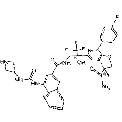 C[C@]1(C(N)=O)COc2c1cc([C@@](O)(CNC(=O)c1cc(NC(=O)NC3CNC3)c3ncccc3c1)C(F)(F)F)nc2-c1ccc(F)cc1